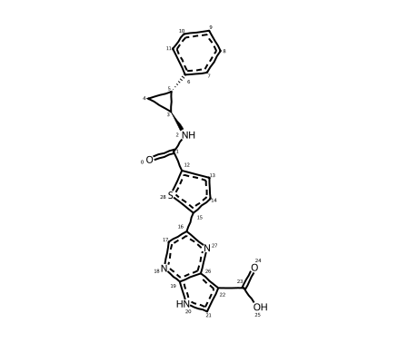 O=C(N[C@H]1C[C@@H]1c1ccccc1)c1ccc(-c2cnc3[nH]cc(C(=O)O)c3n2)s1